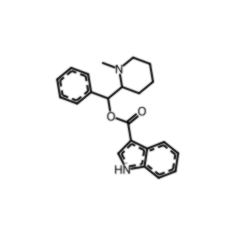 CN1CCCCC1C(OC(=O)c1c[nH]c2ccccc12)c1ccccc1